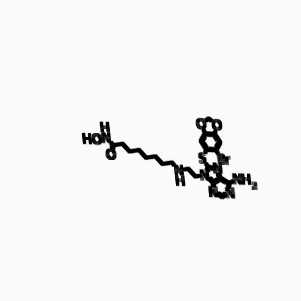 Nc1ncnc2c1nc(Sc1cc3c(cc1Br)OCO3)n2CCNCCCCCCCC(=O)NO